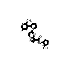 Cc1ncc(F)cc1C1CCCN1c1ccn2ncc(C(=O)NC3CCC[C@H]3O)c2n1